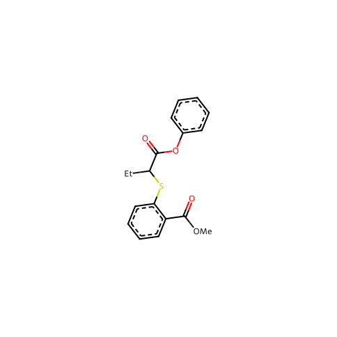 CCC(Sc1ccccc1C(=O)OC)C(=O)Oc1ccccc1